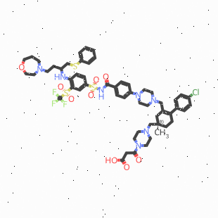 C[C@@]1(CN2CCN(C(=O)CC(=O)O)CC2)CCC(c2ccc(Cl)cc2)=C(CN2CCN(c3ccc(C(=O)NS(=O)(=O)c4ccc(NC(CCN5CCCOCC5)CSc5ccccc5)c(S(=O)(=O)C(F)(F)F)c4)cc3)CC2)C1